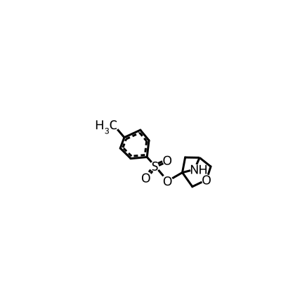 Cc1ccc(S(=O)(=O)OC23COCC(C2)N3)cc1